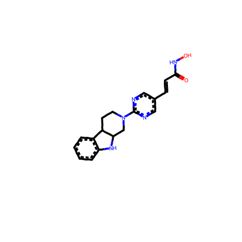 O=C(/C=C/c1cnc(N2CCC3c4ccccc4NC3C2)nc1)NO